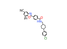 CC(C)c1cc(C#N)cc2nc(-c3ccc(C(=O)NCC4CCC(c5ccc(Cl)cc5)CC4)cc3)oc12